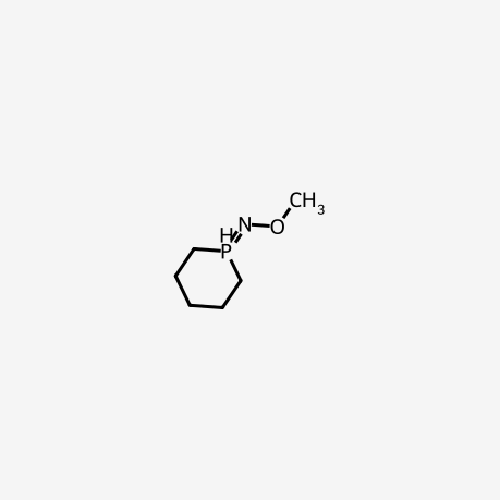 CON=[PH]1CCCCC1